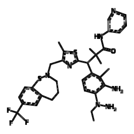 CCN(N)c1ccc(C(c2nc(CN3CCCc4cc(C(F)(F)F)ccc4S3)c(C)s2)C(C)(C)C(=O)Nc2cccnc2)c(C)c1N